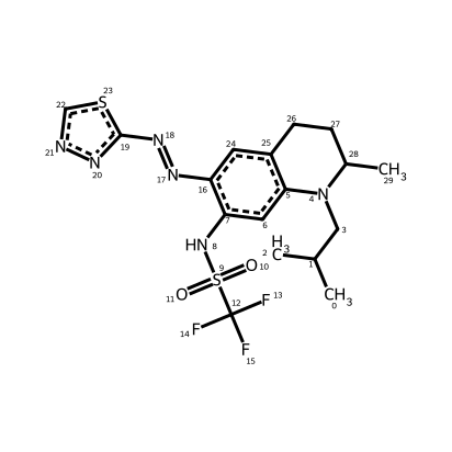 CC(C)CN1c2cc(NS(=O)(=O)C(F)(F)F)c(N=Nc3nncs3)cc2CCC1C